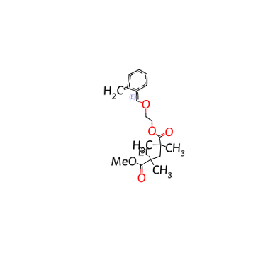 C=c1cccc/c1=C\OCCOC(=O)C(C)(C)CC(C)(CC)C(=O)OC